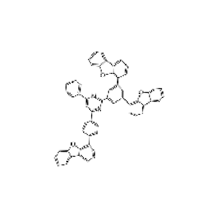 c1ccc(-c2cc(-c3ccc(-c4cccc5c4oc4ccccc45)cc3)nc(-c3cc(-c4cccc5c4oc4ccccc45)cc(-c4cccc5c4oc4ccccc45)c3)n2)cc1